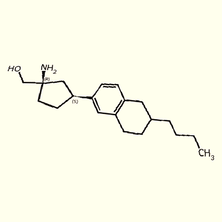 CCCCC1CCc2cc([C@H]3CC[C@](N)(CO)C3)ccc2C1